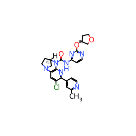 Cc1cc(-c2nc3c(cc2Cl)N2CC[C@@H](C2)N3C(=O)Nc2ccnc(O[C@@H]3CCOC3)n2)ccn1